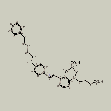 O=C(O)CCCN1CC(C(=O)O)Oc2c(/C=C/c3ccc(OCCCCCc4ccccc4)cc3)cccc21